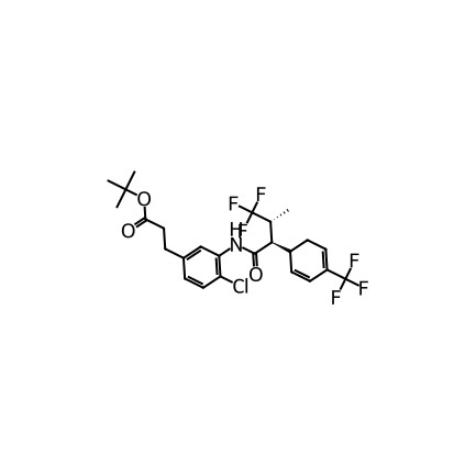 C[C@H]([C@H](C(=O)Nc1cc(CCC(=O)OC(C)(C)C)ccc1Cl)C1C=CC(C(F)(F)F)=CC1)C(F)(F)F